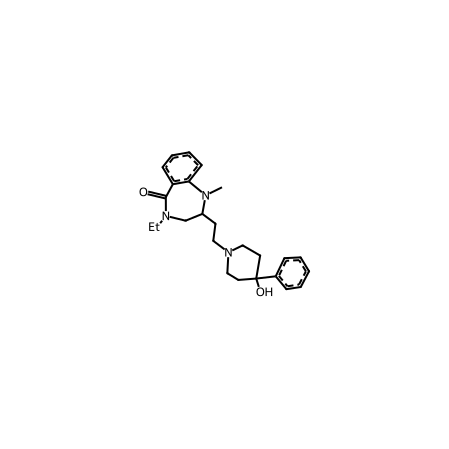 CCN1CC(CCN2CCC(O)(c3ccccc3)CC2)N(C)c2ccccc2C1=O